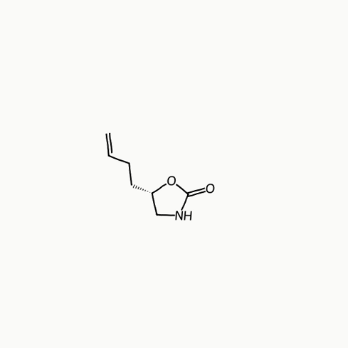 C=CCC[C@H]1CNC(=O)O1